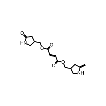 C=C1CC(COC(=O)/C=C/C(=O)OCC2CNC(=O)C2)CN1